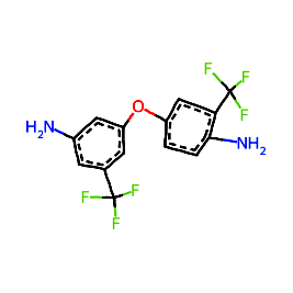 Nc1cc(Oc2ccc(N)c(C(F)(F)F)c2)cc(C(F)(F)F)c1